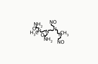 CN(CCN=O)CCN(CCN=O)CCN(CCN(C)CC(N)=O)CC(N)=O